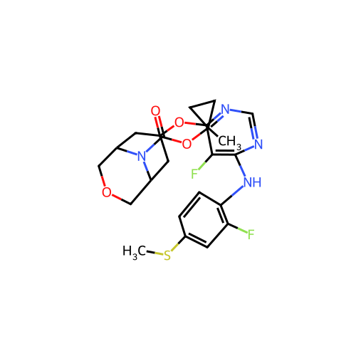 CSc1ccc(Nc2ncnc(OC3CC4COCC(C3)N4C(=O)OC3(C)CC3)c2F)c(F)c1